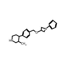 CC1CNCCC1c1ccc(COC2CN(c3ccccc3)C2)cc1